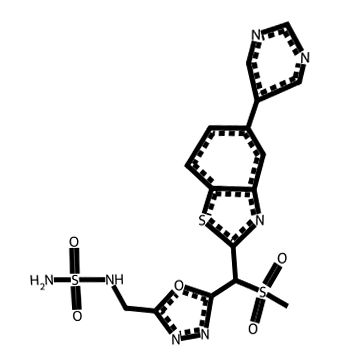 CS(=O)(=O)C(c1nnc(CNS(N)(=O)=O)o1)c1nc2cc(-c3cncnc3)ccc2s1